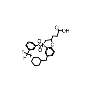 O=C(O)CCC1CN(S(=O)(=O)c2cccc(C(F)(F)F)c2)c2cc(CC3CCCCC3)ccc2O1